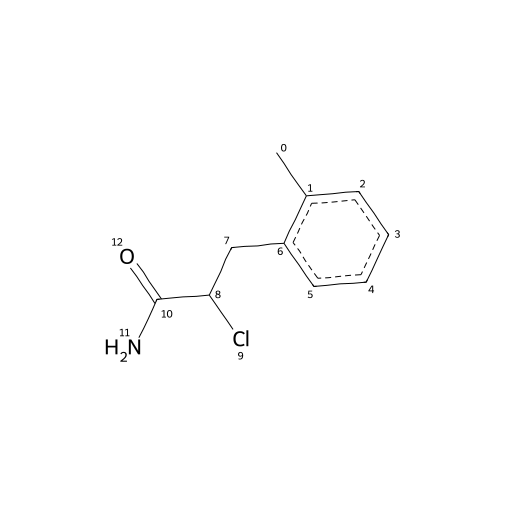 Cc1ccccc1CC(Cl)C(N)=O